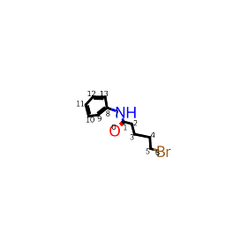 O=C(CCCCBr)Nc1ccccc1